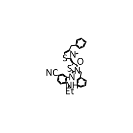 CCNc1ccc(C#N)cc1N=C1SC(=C2SC=C(Cc3ccccc3)N2C)C(=O)N1Cc1ccccc1